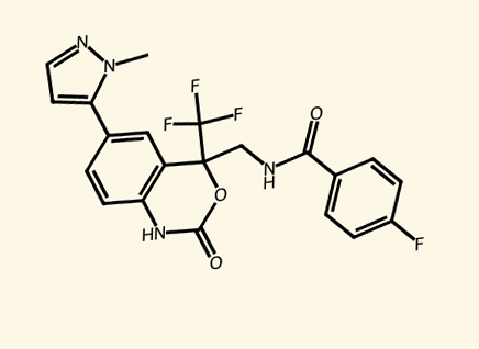 Cn1nccc1-c1ccc2c(c1)C(CNC(=O)c1ccc(F)cc1)(C(F)(F)F)OC(=O)N2